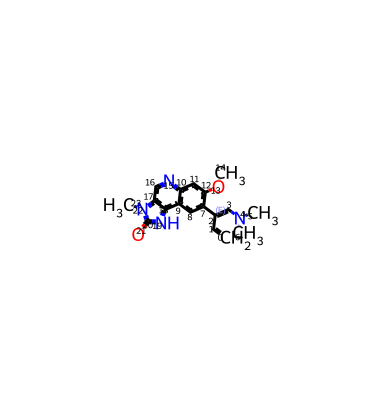 C=C/C(=C\N(C)C)c1cc2c(cc1OC)ncc1c2[nH]c(=O)n1C